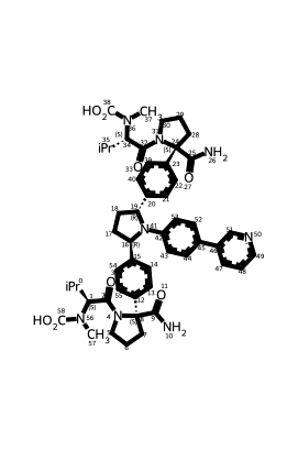 CC(C)[C@@H](C(=O)N1CCC[C@@]1(C(N)=O)c1ccc([C@H]2CC[C@H](c3ccc([C@]4(C(N)=O)CCCN4C(=O)[C@H](C(C)C)N(C)C(=O)O)cc3)N2c2ccc(-c3cccnc3)cc2)cc1)N(C)C(=O)O